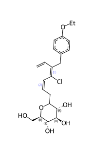 C=C/C(Cc1ccc(OCC)cc1)=C(Cl)\C=C/CC1O[C@H](CO)[C@@H](O)[C@H](O)[C@H]1O